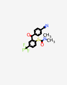 CN(C)C(=O)Sc1ccc(C(F)(F)F)cc1C(=O)c1ccc(C#N)cc1